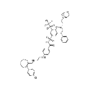 O=C(NS(=O)(=O)c1ccc(N[C@H](CCN2CC3CC2CO3)CSc2ccccc2)c(S(=O)(=O)C(F)(F)Cl)c1)c1ccc(NCCNCC2=C(c3ccc(Cl)cc3)CCCCC2)cc1